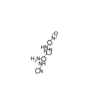 Nc1cc(-c2ccnc(Nc3ccc(N4CCOCC4)cc3)n2)ccc1NCc1ccccn1